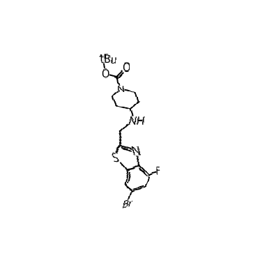 CC(C)(C)OC(=O)N1CCC(NCc2nc3c(F)cc(Br)cc3s2)CC1